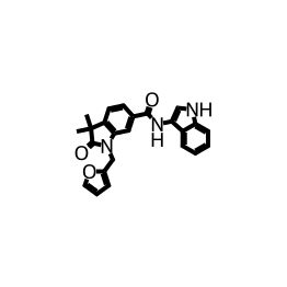 CC1(C)C(=O)N(Cc2ccco2)c2cc(C(=O)Nc3c[nH]c4ccccc34)ccc21